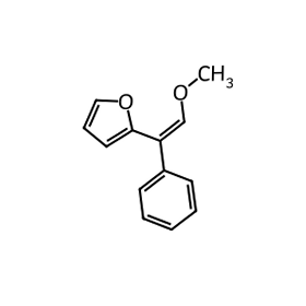 CO/C=C(/c1ccccc1)c1ccco1